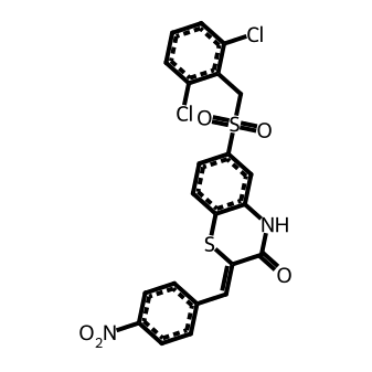 O=C1Nc2cc(S(=O)(=O)Cc3c(Cl)cccc3Cl)ccc2SC1=Cc1ccc([N+](=O)[O-])cc1